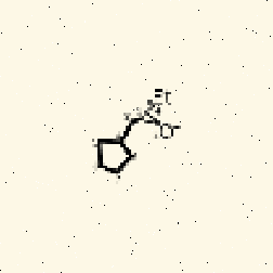 CC[S+]([O-])CC1CCCC1